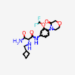 NC(=O)[C@H](NCC1CCC1)C(=O)Nc1ccc(N2CCOCC2=O)c(OC(F)F)c1